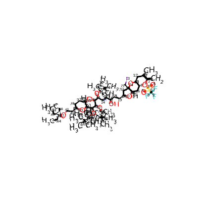 C=C(OS(=O)(=O)C(F)(F)F)[C@H](C)C[C@H]1CC[C@@H]2O[C@@H](CCC(O)/C=C/[C@H](O[Si](C)(C)C(C)(C)C)[C@@H]3O[C@H]4CC[C@H](CCO[Si](CC)(CC)CC)O[C@@H]4[C@H](O[Si](C)(C)C(C)(C)C)[C@@H]3O[Si](C)(C)C(C)(C)C)C[C@]2(CI)O1